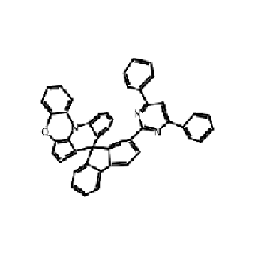 c1ccc(-c2cc(-c3ccccc3)nc(-c3ccc4c(c3)C3(c5ccccc5-4)c4ccccc4N4c5ccccc5Oc5cccc3c54)n2)cc1